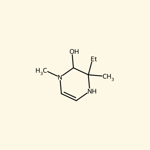 CCC1(C)NC=CN(C)C1O